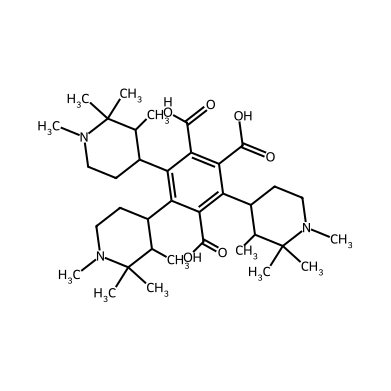 CC1C(c2c(C(=O)O)c(C(=O)O)c(C3CCN(C)C(C)(C)C3C)c(C3CCN(C)C(C)(C)C3C)c2C(=O)O)CCN(C)C1(C)C